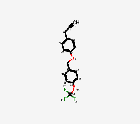 C#CCc1ccc(OCc2ccc(OC(F)(F)F)cc2)cc1